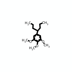 CCCC(CCC)c1cc(OC)c(OC)c(OC)c1